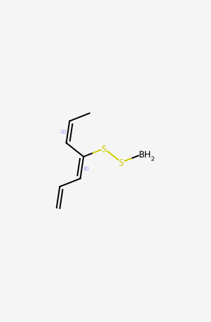 BSSC(/C=C\C)=C/C=C